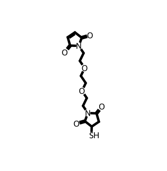 O=C1C=CC(=O)N1CCOCCOCCN1C(=O)CC(S)C1=O